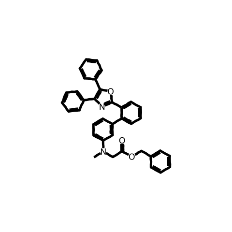 CN(CC(=O)OCc1ccccc1)c1cccc(-c2ccccc2-c2nc(-c3ccccc3)c(-c3ccccc3)o2)c1